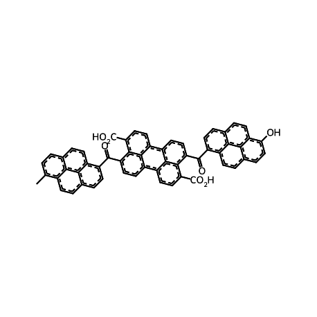 Cc1ccc2ccc3c(C(=O)c4ccc5c6ccc(C(=O)O)c7c(C(=O)c8ccc9ccc%10c(O)ccc%11ccc8c9c%11%10)ccc(c8ccc(C(=O)O)c4c58)c76)ccc4ccc1c2c43